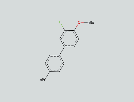 CCCCOc1ccc(-c2ccc(CCC)cc2)cc1F